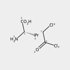 CC(C)[C@H](N)C(=O)O.O=C(Cl)CCl